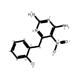 Nc1nc(N)c([N+](=O)[O-])c(Cc2ccccc2Cl)n1